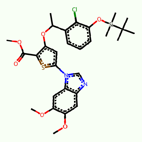 COC(=O)c1sc(-n2cnc3cc(OC)c(OC)cc32)cc1OC(C)c1cccc(O[Si](C)(C)C(C)(C)C)c1Cl